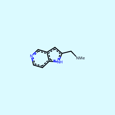 CNCc1cc2cnccc2[nH]1